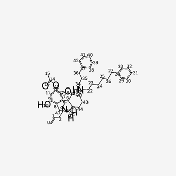 C=CCN1CC[C@]23c4c5c(O)cc(OC(C)=O)c4O[C@H]2[C@@H](N(CCCCCCc2ccccc2)CCCc2ccccc2)CC[C@H]3[C@H]1C5